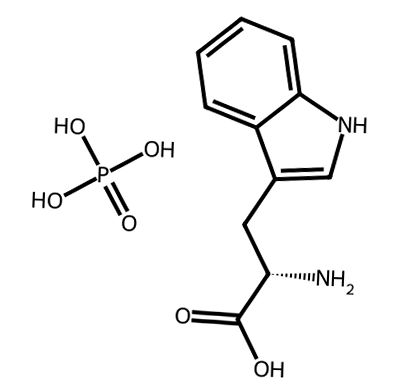 N[C@@H](Cc1c[nH]c2ccccc12)C(=O)O.O=P(O)(O)O